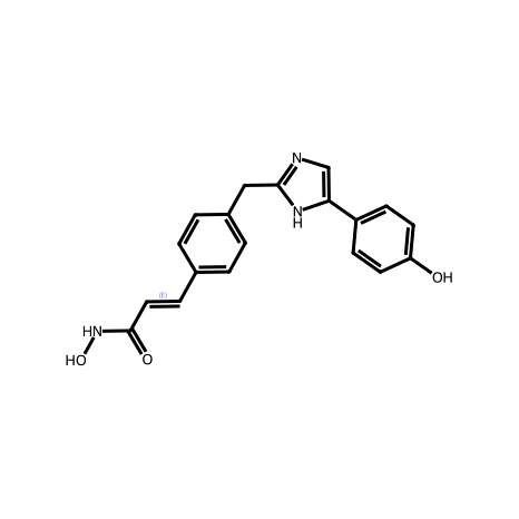 O=C(/C=C/c1ccc(Cc2ncc(-c3ccc(O)cc3)[nH]2)cc1)NO